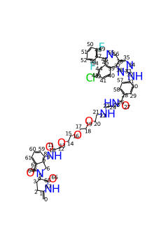 C=C1CCC(N2Cc3c(NC(=O)COCCOCCOCCNCCNC(=O)c4ccc(Nc5ncc6c(n5)-c5ccc(Cl)cc5C(c5c(F)cccc5F)=NC6)cc4)cccc3C2=O)C(=O)N1